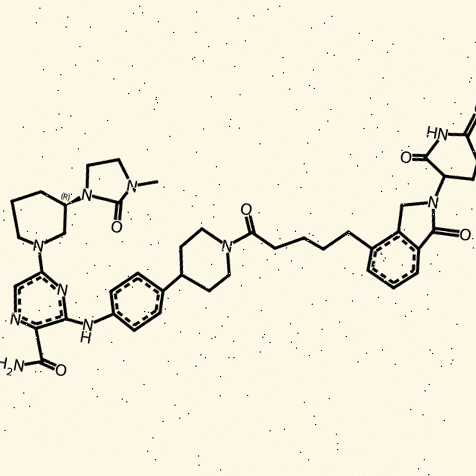 CN1CCN([C@@H]2CCCN(c3cnc(C(N)=O)c(Nc4ccc(C5CCN(C(=O)CCCCc6cccc7c6CN(C6CCC(=O)NC6=O)C7=O)CC5)cc4)n3)C2)C1=O